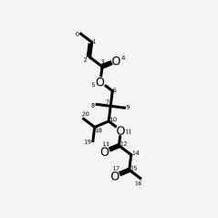 CC=CC(=O)OCC(C)(C)C(OC(=O)CC(C)=O)C(C)C